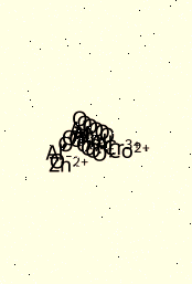 [Co+2].[Cr+3].[O]=[Al][O-].[O]=[Al][O-].[O]=[Al][O-].[O]=[Al][O-].[O]=[Al][O-].[O]=[Al][O-].[O]=[Al][O-].[Zn+2]